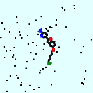 CN(C)c1ccc(-c2cc3cc(OCCCCCBr)ccc3o2)cn1